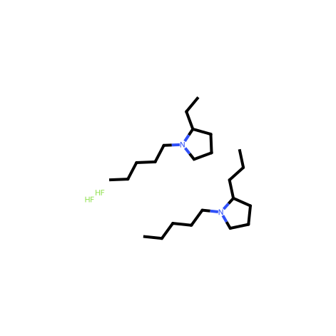 CCCCCN1CCCC1CC.CCCCCN1CCCC1CCC.F.F